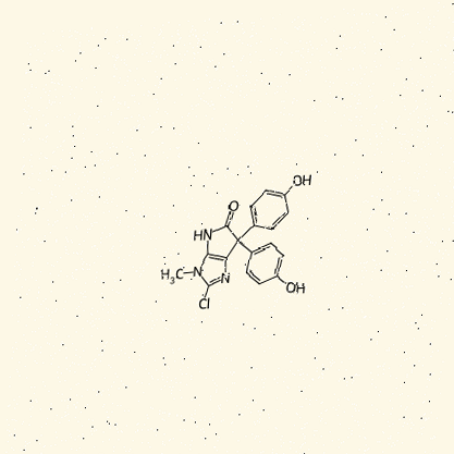 Cn1c(Cl)nc2c1NC(=O)C2(c1ccc(O)cc1)c1ccc(O)cc1